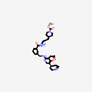 CC(C)(C)OC(=O)N1CCC(CCNC(=O)c2cccc(CNc3ncc(-c4ccncc4)c4c3CCO4)c2)CC1